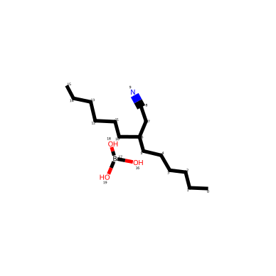 CCCCCCC(CC#N)CCCCCC.OB(O)O